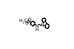 CS(=O)(=O)c1ccc(NCCn2c3ccccc3c3ccccc32)cc1